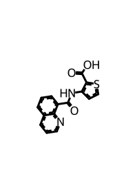 O=C(O)c1sccc1NC(=O)c1cccc2cccnc12